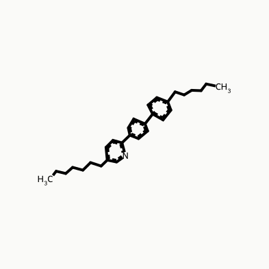 CCCCCCCc1ccc(-c2ccc(-c3ccc(CCCCCC)cc3)cc2)nc1